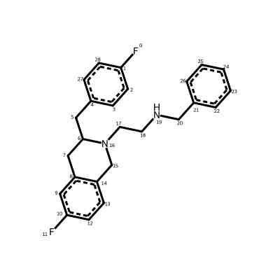 Fc1ccc(CC2Cc3cc(F)ccc3CN2CCNCc2ccccc2)cc1